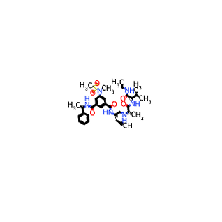 C#CC[C@@H](CN[C@@H](C)C(=O)N[C@H](C(=O)NCC)C(C)C)NC(=O)c1cc(C(=O)N[C@H](C)c2ccccc2)cc(N(C)S(C)(=O)=O)c1